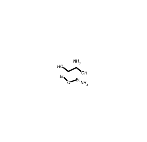 CCOCC.N.N.OCCO